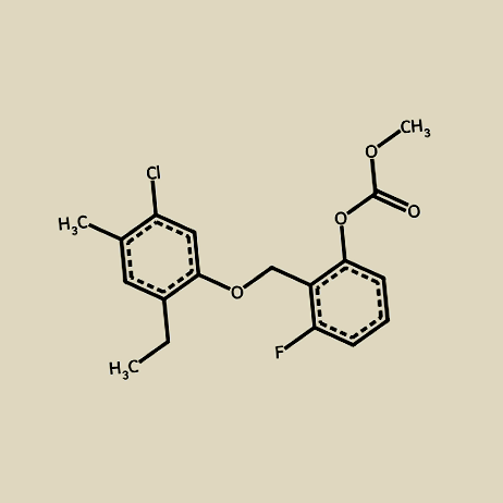 CCc1cc(C)c(Cl)cc1OCc1c(F)cccc1OC(=O)OC